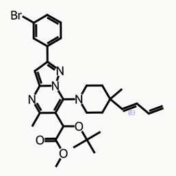 C=C/C=C/C1(C)CCN(c2c(C(OC(C)(C)C)C(=O)OC)c(C)nc3cc(-c4cccc(Br)c4)nn23)CC1